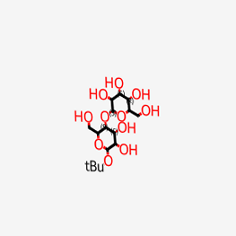 CC(C)(C)OC1OC(CO)[C@@H](O[C@@H]2OC(CO)[C@H](O)[C@H](O)C2O)[C@@H](O)C1O